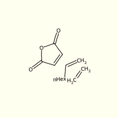 C=C.C=CCCCCCC.O=C1C=CC(=O)O1